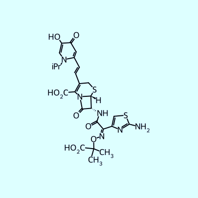 CC(C)n1cc(O)c(=O)cc1C=CC1=C(C(=O)O)N2C(=O)[C@@H](NC(=O)/C(=N\OC(C)(C)C(=O)O)c3csc(N)n3)[C@H]2SC1